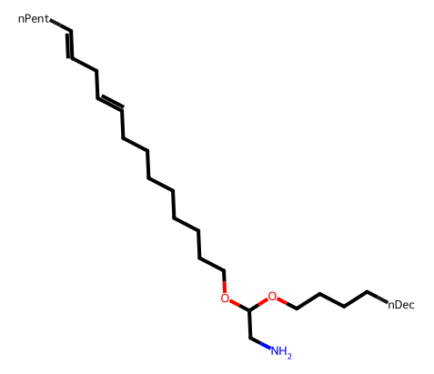 CCCCCC=CCC=CCCCCCCCCOC(CN)OCCCCCCCCCCCCCC